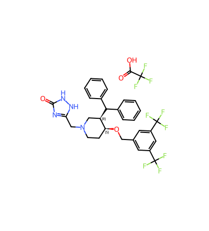 O=C(O)C(F)(F)F.O=c1nc(CN2CC[C@H](OCc3cc(C(F)(F)F)cc(C(F)(F)F)c3)[C@H](C(c3ccccc3)c3ccccc3)C2)[nH][nH]1